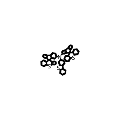 c1ccc2c(c1)Sc1ccccc1C21c2ccccc2-c2ccc(N(c3ccc4c(c3)C3(c5ccccc5Sc5ccccc53)c3ccccc3-4)c3ccc4c(c3)sc3ccccc34)cc21